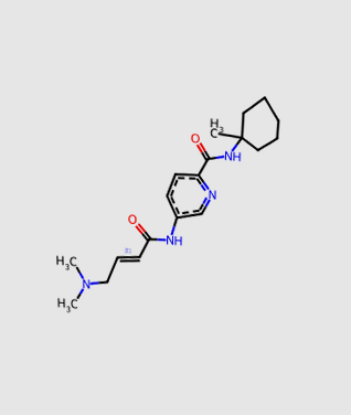 CN(C)C/C=C/C(=O)Nc1ccc(C(=O)NC2(C)CCCCC2)nc1